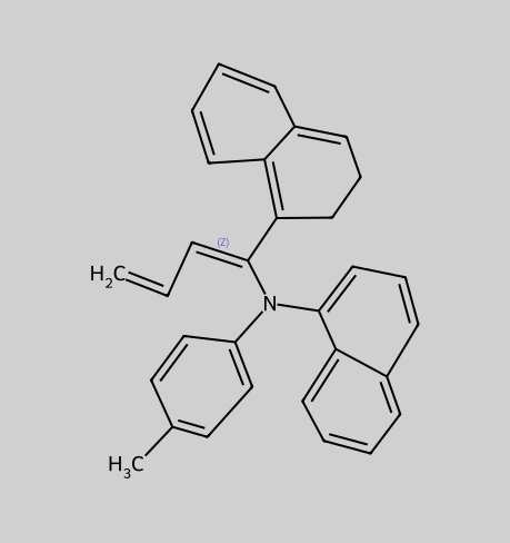 C=C/C=C(/C1=c2ccccc2=CCC1)N(c1ccc(C)cc1)c1cccc2ccccc12